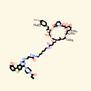 C=CC(=O)N1CCN(c2nc(NCCC(=O)NCCCCCCNC(=O)CCC[C@@H]3/C=C(\C)C[C@H](OC)C[C@H](OC)[C@H]4O[C@@](O)(C(=O)C(=O)N5CCCC[C@H]5C(=O)O[C@H](/C(C)=C/[C@@H]5CC[C@@H](O)[C@H](OC)C5)[C@H](C)[C@@H](O)CC3=O)[C@H](C)C[C@@H]4OC)nc3c(F)c(-c4c(O)cccc4F)c(Cl)cc23)CC1